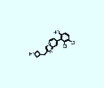 Oc1ccc(Cl)c(Cl)c1-c1ccn2cc(CC3CNC3)nc2c1